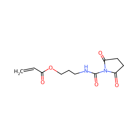 C=CC(=O)OCCCNC(=O)N1C(=O)CCC1=O